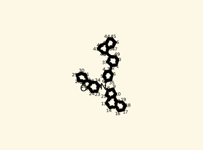 c1cc(-c2ccc(N(c3ccc4c(ccc5ccccc54)c3)c3ccc4oc5ccccc5c4c3)cc2)cc(-c2cccc3ccccc23)c1